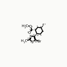 COC(=O)[C@@H]1C[C@@H](F)CC[C@H]1c1nc(C)sc1Br